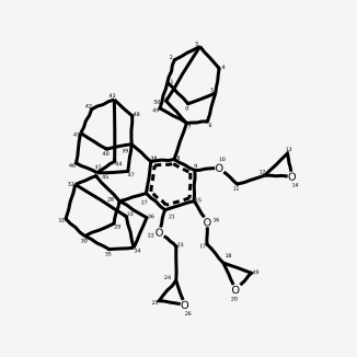 C1C2CC3CC1CC(c1c(OCC4CO4)c(OCC4CO4)c(OCC4CO4)c(C45CC6CC(CC(C6)C4)C5)c1C14CC5CC(CC(C5)C1)C4)(C2)C3